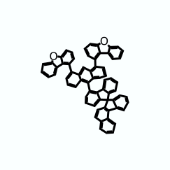 c1ccc2c(c1)-c1c(-c3c4cccc(-c5cccc6oc7ccccc7c56)c4cc4c(-c5cccc6oc7ccccc7c56)cccc34)cccc1C21c2ccccc2-c2c1ccc1ccccc21